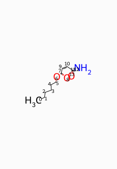 CCCCCCOC(=O)/C=C\C(N)=O